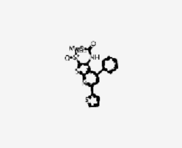 CCCC[S@+]([O-])c1sc2nc(-c3cccs3)cc(-c3ccccc3)c2c1NC(=O)OC